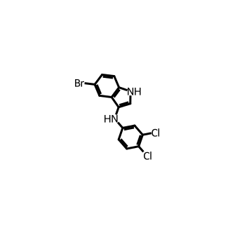 Clc1ccc(Nc2c[nH]c3ccc(Br)cc23)cc1Cl